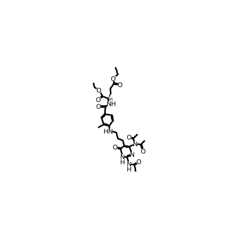 CCOC(=O)CC[C@@H](NC(=O)c1ccc(NCCCc2c(N(C(C)=O)C(C)=O)nc(NC(C)=O)[nH]c2=O)c(C)c1)C(=O)OCC